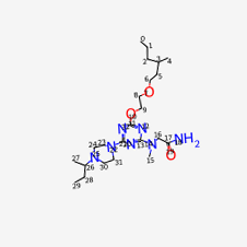 CCCC(C)CCOCCOc1nc(N(C)CC(N)=O)nc(N2CCN(C(C)CC)CC2)n1